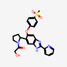 CS(=O)(=O)c1ccc(Oc2cc3nc(-c4ccccn4)[nH]c3cc2C2CCCN2C(=O)CO)cc1